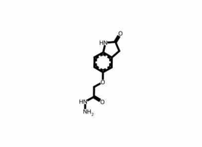 NNC(=O)COc1ccc2c(c1)CC(=O)N2